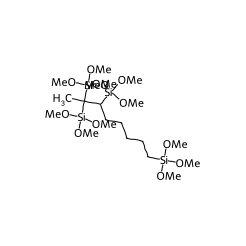 CO[Si](CCCCCC(C(C)([Si](OC)(OC)OC)[Si](OC)(OC)OC)[Si](OC)(OC)OC)(OC)OC